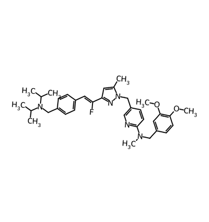 COc1ccc(CN(C)c2ccc(Cn3nc(C(F)=Cc4ccc(CN(C(C)C)C(C)C)cc4)cc3C)cn2)cc1OC